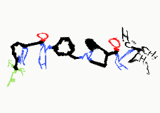 CC(C)(C)NC(=O)C1CCN(Cc2cccc(NC(=O)c3cccc(C(F)(F)F)n3)c2)CC1